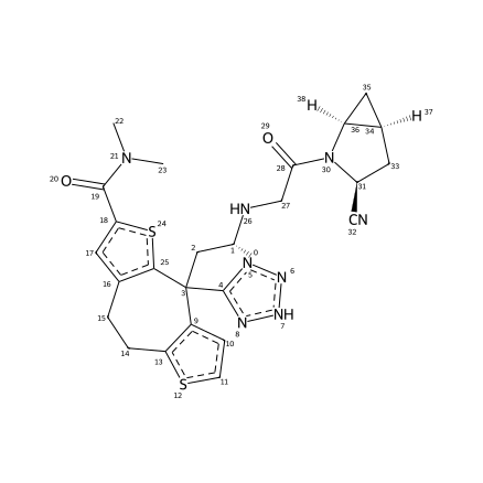 C[C@H](CC1(c2nn[nH]n2)c2ccsc2CCc2cc(C(=O)N(C)C)sc21)NCC(=O)N1[C@H](C#N)C[C@@H]2C[C@@H]21